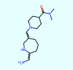 CN(C)C(=O)C1CCN(/C=C2\CCC/C(=C/N)NC2)CC1